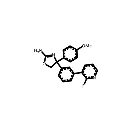 COc1ccc(C2(c3cccc(-c4cccnc4F)c3)COC(N)=N2)cc1